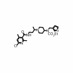 CCOC(=O)N(Cc1ccsc1)C1CCN(C(C)CCNC(=O)c2c(C)cc(Cl)nc2C)CC1